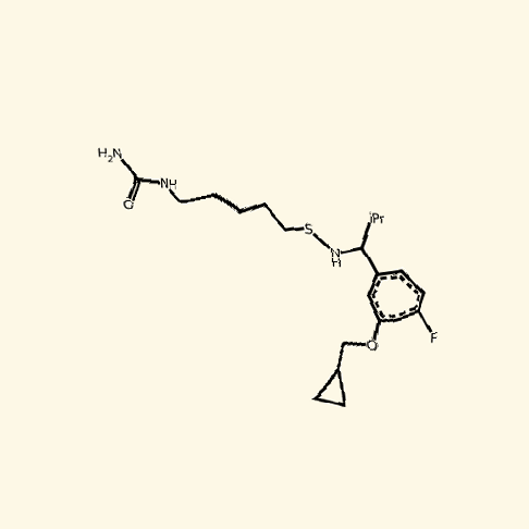 CC(C)C(NSCCCCCNC(N)=O)c1ccc(F)c(OCC2CC2)c1